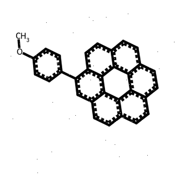 COc1ccc(-c2cc3ccc4ccc5ccc6ccc7ccc2c2c7c6c5c4c32)cc1